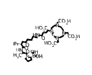 CC(C)[C@H](CC(=O)CCCCNC(=O)CCC(C(=O)O)N1CCN(CC(=O)O)CCN(CC(=O)O)CCN(CC(=O)O)CC1)C(=O)N[C@H](C)C(=O)N1CCC[C@H]1B(O)O